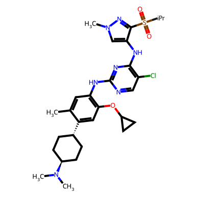 Cc1cc(Nc2ncc(Cl)c(Nc3cn(C)nc3S(=O)(=O)C(C)C)n2)c(OC2CC2)cc1[C@H]1CC[C@H](N(C)C)CC1